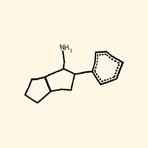 NC1C(c2ccccc2)CC2CCCC21